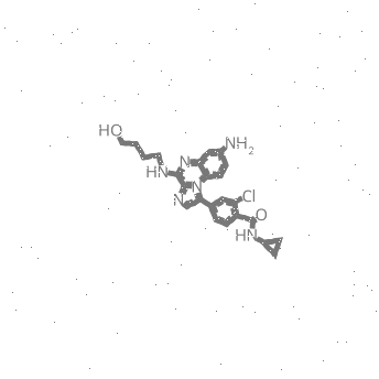 Nc1ccc2c(c1)nc(NCCCCO)c1ncc(-c3ccc(C(=O)NC4CC4)c(Cl)c3)n12